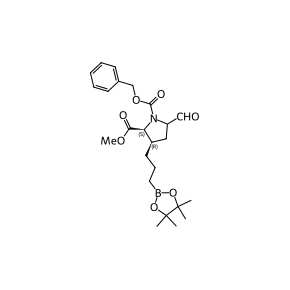 COC(=O)[C@@H]1[C@H](CCCB2OC(C)(C)C(C)(C)O2)CC(C=O)N1C(=O)OCc1ccccc1